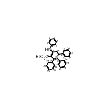 CCOC(=O)C1=C(Nc2ccccc2)CC(c2ccccc2)N(c2ccccc2)C1c1ccccc1